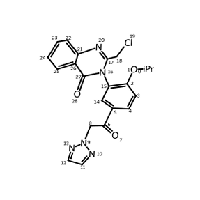 CC(C)Oc1ccc(C(=O)Cn2nccn2)cc1-n1c(CCl)nc2ccccc2c1=O